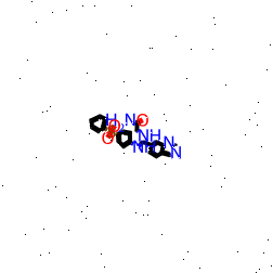 NC(=O)CNC(Nc1ccc(S(=O)(=O)c2ccccc2)cc1)c1ccc2cncnc2c1